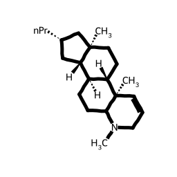 CCC[C@H]1C[C@H]2[C@@H]3CCC4N(C)CC=C[C@]4(C)[C@H]3CC[C@]2(C)C1